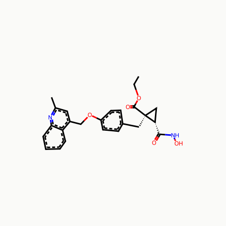 CCOC(=O)[C@@]1(Cc2ccc(OCc3cc(C)nc4ccccc34)cc2)C[C@@H]1C(=O)NO